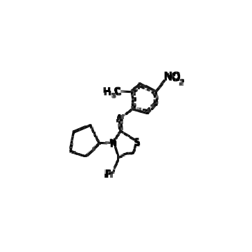 Cc1cc([N+](=O)[O-])ccc1N=C1SCC(C(C)C)N1C1CCCC1